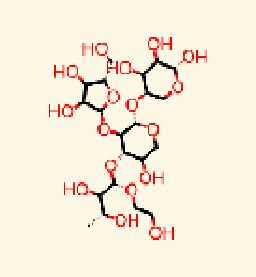 C[C@@H](O)C(O)[C@@H](OCCO)O[C@@H]1C(O[C@@H]2O[C@@H](CO)C(O)C2O)[C@H](O[C@@H]2CO[C@@H](O)C(O)C2O)OC[C@H]1O